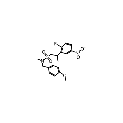 COc1ccc(CN(C)S(=O)(=O)CC(C)c2cc([N+](=O)[O-])ccc2F)cc1